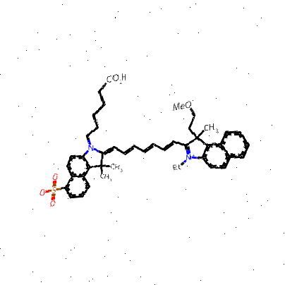 CC[N+]1=C(/C=C/C=C/C=C/C=C2/N(CCCCCC(=O)O)c3ccc4c(S(=O)(=O)[O-])cccc4c3C2(C)C)C(C)(CCOC)c2c1ccc1ccccc21